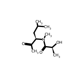 CC(=O)[C@@H](CC(C)C)N(C)C(=O)[C@H](C)O